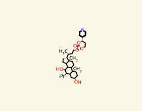 CC(C)[C@@H]1C2C[C@H](O)CC[C@]2(C)C2CC[C@@]3(C)C(CC[C@@H]3[C@H](C)CCO[P@]3(=O)OCC[C@@H](c4ccncc4)O3)C2[C@@H]1O